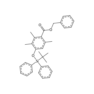 Cc1cc(O[Si](c2ccccc2)(c2ccccc2)C(C)(C)C)c(C)c(C)c1C(=O)OCc1ccccc1